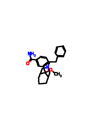 COC1(c2cccc(C(N)=O)c2)C2CCCC1CN(CCc1ccccc1)C2